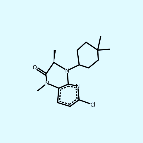 C[C@@H]1C(=O)N(C)c2ccc(Cl)nc2N1C1CCC(C)(C)CC1